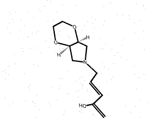 C=C(O)/C=C/CN1C[C@@H]2OCCO[C@@H]2C1